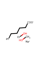 CC(C)CCCCC(=O)[O-].CCO.CO.[Na+]